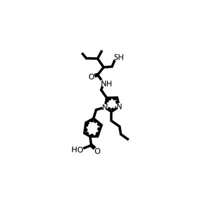 CCCCc1ncc(CNC(=O)C(CS)C(C)CC)n1Cc1ccc(C(=O)O)cc1